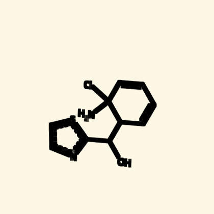 NC1(Cl)C=CC=CC1C(O)c1nccs1